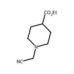 CCOC(=O)C1CCN(CC#N)CC1